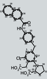 O=C(O)Cc1c(Cl)nc(Cc2ccc(NC(=O)c3ccc4ccccc4c3)cc2)nc1N1CCC[C@H]1C(=O)O